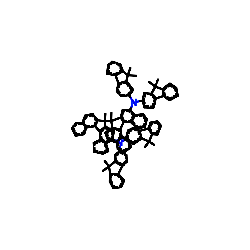 CC1(C)c2ccccc2-c2ccc(N(c3ccc4c(c3)C(C)(C)c3ccccc3-4)c3cc4c(c5ccccc35)-c3c(ccc5ccccc35)C4(C)C3(C)c4ccc5ccccc5c4-c4c3cc(N(c3ccc5c(c3)C(C)(C)c3ccccc3-5)c3ccc5c(c3)C(C)(C)c3ccccc3-5)c3ccccc43)cc21